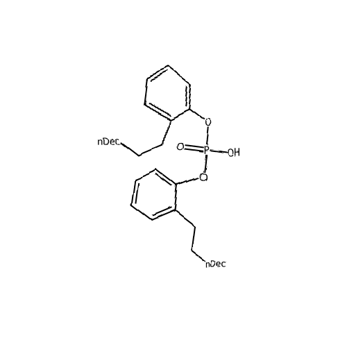 CCCCCCCCCCCCc1ccccc1OP(=O)(O)Oc1ccccc1CCCCCCCCCCCC